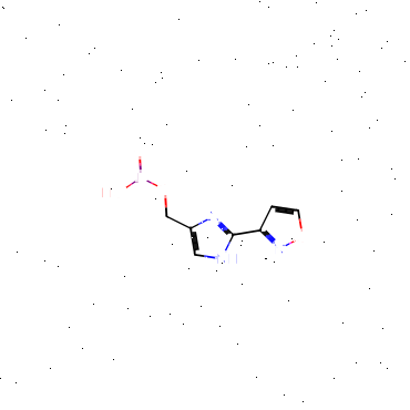 OP(O)OCc1c[nH]c(-c2ccon2)n1